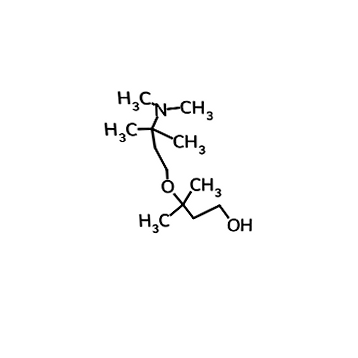 CN(C)C(C)(C)CCOC(C)(C)CCO